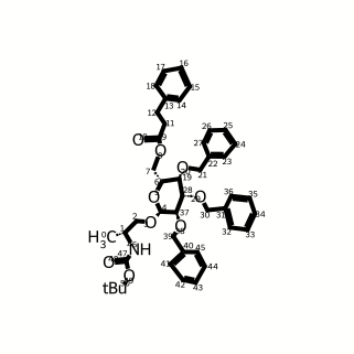 C[C@H](CO[C@H]1O[C@H](COC(=O)CCc2ccccc2)[C@H](OCc2ccccc2)[C@H](OCc2ccccc2)[C@H]1OCc1ccccc1)NC(=O)OC(C)(C)C